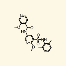 COc1cnccc1C(=O)Nc1cnc(OC)c(S(=O)(=O)Nc2c(C)cccc2C)c1